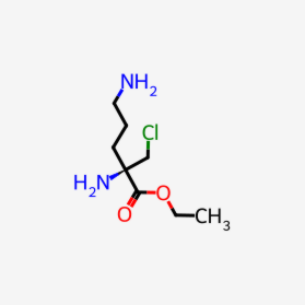 CCOC(=O)[C@@](N)(CCl)CCCN